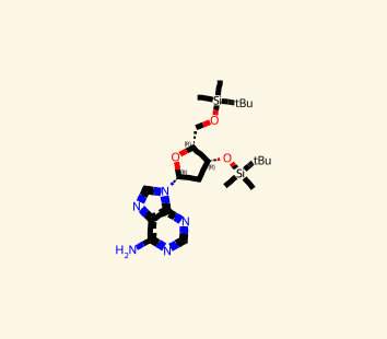 CC(C)(C)[Si](C)(C)OC[C@H]1O[C@@H](n2cnc3c(N)ncnc32)C[C@H]1O[Si](C)(C)C(C)(C)C